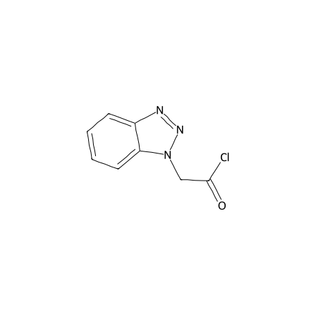 O=C(Cl)Cn1nnc2ccccc21